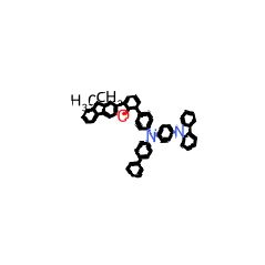 CC1(C)c2ccccc2-c2cc3oc4c(-c5ccc(N(c6ccc(-c7ccccc7)cc6)c6ccc(-n7c8ccccc8c8ccccc87)cc6)cc5)cccc4c3cc21